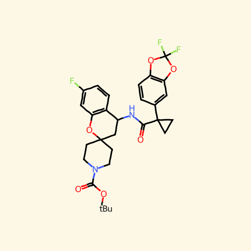 CC(C)(C)OC(=O)N1CCC2(CC1)CC(NC(=O)C1(c3ccc4c(c3)OC(F)(F)O4)CC1)c1ccc(F)cc1O2